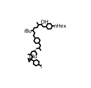 CCCCCCC1CCC(CC(O)C(C)CCC(CCC2CCC(CC(C)C[C@@H](CC(C)CC3(C4CCC(I)CC4)CC3)CC(C)(C)C)CC2)C(C)CC)CC1